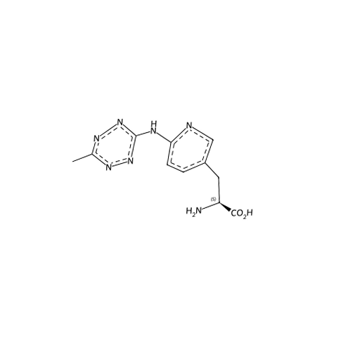 Cc1nnc(Nc2ccc(C[C@H](N)C(=O)O)cn2)nn1